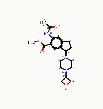 COC(=O)c1cc2c(cc1NC(C)=O)[CH]CC2N1CCN(C2COC2)CC1